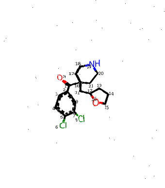 O=C(c1ccc(Cl)c(Cl)c1)C1(CC2CCCO2)CCNCC1